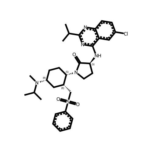 CC(C)c1nc(N[C@H]2CCN([C@H]3CC[C@@H](N(C)C(C)C)C[C@H]3CS(=O)(=O)c3ccccc3)C2=O)c2cc(Cl)ccc2n1